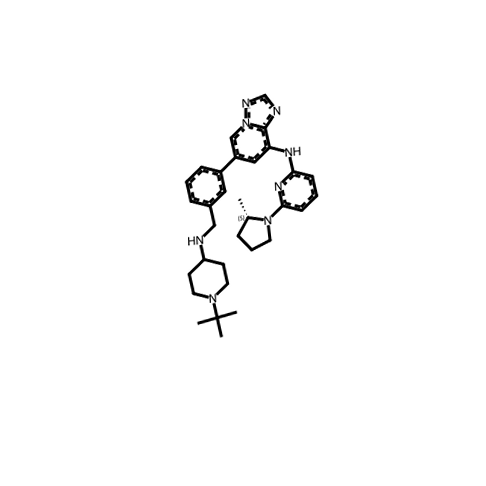 C[C@H]1CCCN1c1cccc(Nc2cc(-c3cccc(CNC4CCN(C(C)(C)C)CC4)c3)cn3ncnc23)n1